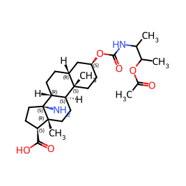 CC(=O)OC(C)C(C)NC(=O)O[C@H]1CC[C@@]2(C)[C@H](CC[C@@H]3[C@@H]2CC[C@]2(C)[C@@H](C(=O)O)CC[C@]32N)C1